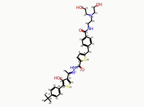 C/C(=N\NC(=O)c1ccc(Cc2ccc(C(=O)NCCN(CCO)CCO)cc2)s1)c1csc(-c2ccc(C(C)(C)C)cc2)c1O